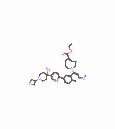 C=C1CC=C(c2ccc(C3(OC)CCN(C4COC4)CC3)cn2)C=C1/C(=C\C=N/C)N1CC/C=C(\C(=O)OCC)CCC1